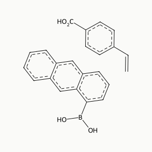 C=Cc1ccc(C(=O)O)cc1.OB(O)c1cccc2cc3ccccc3cc12